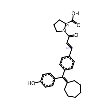 O=C(O)[C@@H]1CCCN1C(=O)/C=C/c1ccc(C(=C2CCCCCC2)c2ccc(O)cc2)cc1